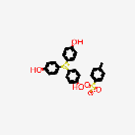 Cc1ccc(S(=O)(=O)[O-])cc1.Oc1ccc([S+](c2ccc(O)cc2)c2ccc(O)cc2)cc1